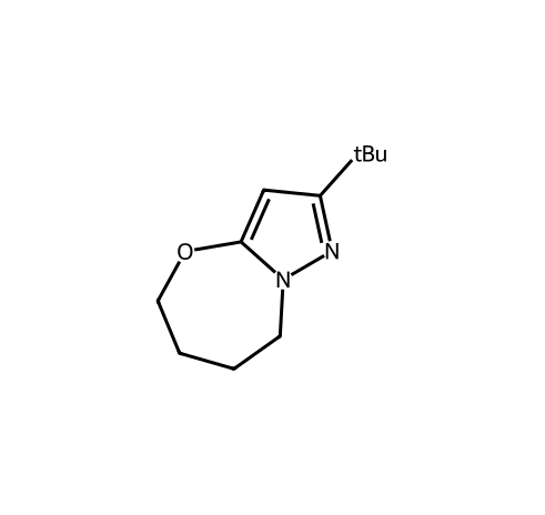 CC(C)(C)c1cc2n(n1)CCCCO2